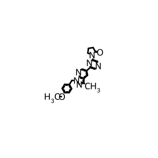 COc1ccc(Cn2nc(C)c3cc(-c4cncc(N5CCCC5=O)n4)cnc32)cc1